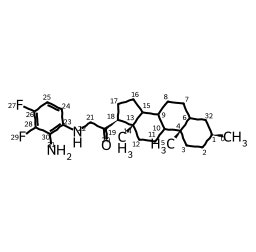 C[C@H]1CC[C@@]2(C)C(CCC3C2CC[C@@]2(C)C3CC[C@@H]2C(=O)CNc2ccc(F)c(F)c2N)C1